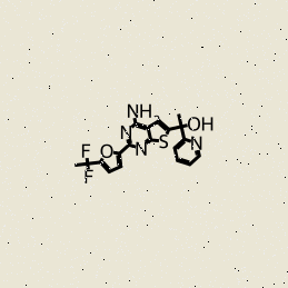 CC(F)(F)c1ccc(-c2nc(N)c3cc(C(C)(O)c4ccccn4)sc3n2)o1